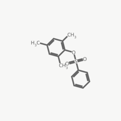 Cc1cc(C)c(OS(=O)(=O)c2ccccc2)c(C)c1